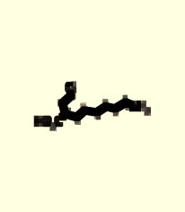 NCCCCCCC(CCCl)C(=O)O